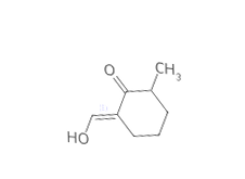 CC1CCC/C(=C\O)C1=O